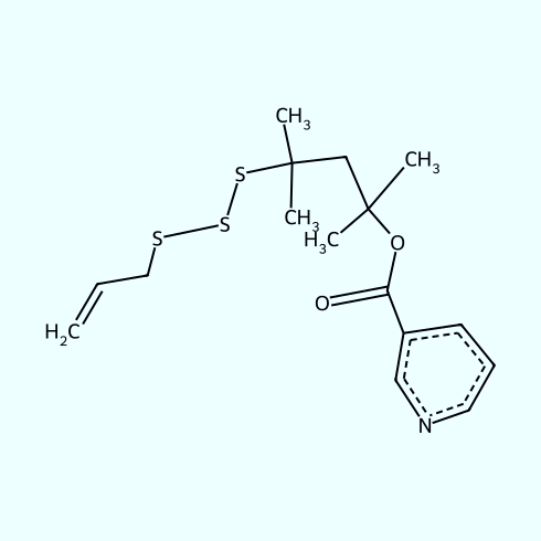 C=CCSSSC(C)(C)CC(C)(C)OC(=O)c1cccnc1